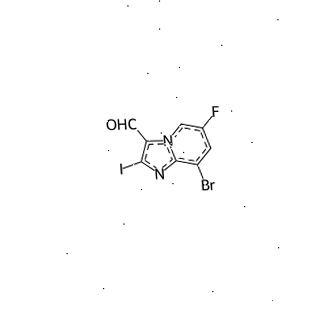 O=Cc1c(I)nc2c(Br)cc(F)cn12